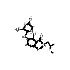 COC(C)Cn1cnc2ccc(Sc3ncc(Cl)nc3N)c(Cl)c2c1=O